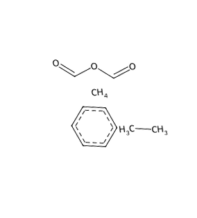 C.CC.O=COC=O.c1ccccc1